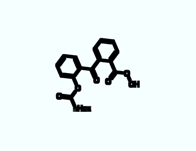 CCCCCCC(=O)Oc1ccccc1C(=O)c1ccccc1C(=O)OO